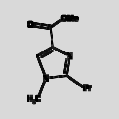 COC(=O)c1cn(C)c(C(C)C)n1